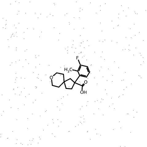 Cc1c(F)cccc1C1(C(=O)O)CCC2(CCOCC2)C1